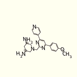 COc1ccc(-c2cc(-c3ccncc3)nc(CN3C[C@H](N)C[C@H](N)C3)n2)cc1